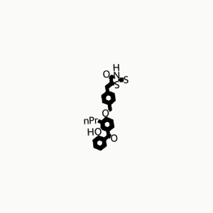 CCCc1c(OCc2ccc(/C=C3\SC(=S)NC3=O)cc2)ccc(C(=O)c2ccccc2)c1O